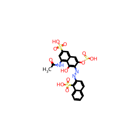 CC(=O)Nc1cc(S(=O)(=O)O)cc2cc(OS(=O)O)c(N=Nc3ccc4ccccc4c3S(=O)(=O)O)c(O)c12